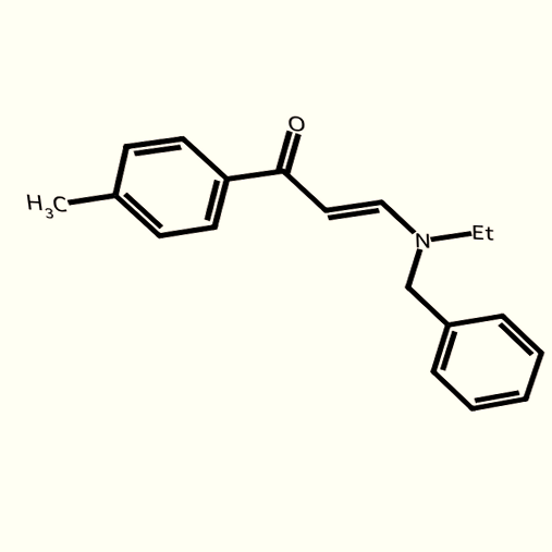 CCN(C=CC(=O)c1ccc(C)cc1)Cc1ccccc1